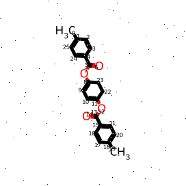 Cc1ccc(C(=O)OC2=CC=C(OC(=O)c3ccc(C)cc3)CC2)cc1